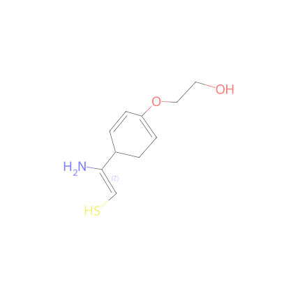 N/C(=C\S)C1C=CC(OCCO)=CC1